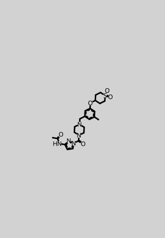 CC(=O)Nc1ccn(C(=O)N2CCN(Cc3cc(C)cc(OC4CCS(=O)(=O)CC4)c3)CC2)n1